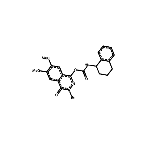 CCn1nc(OC(=O)NC2CCCc3ccccc32)c2cc(OC)c(OC)cc2c1=O